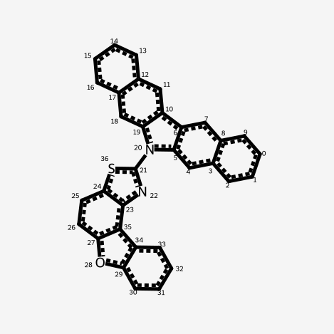 c1ccc2cc3c(cc2c1)c1cc2ccccc2cc1n3-c1nc2c(ccc3oc4ccccc4c32)s1